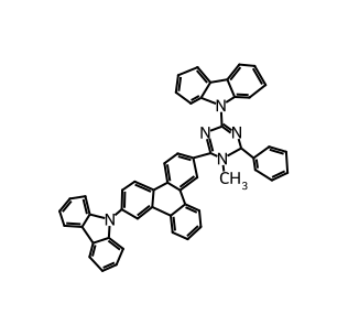 CN1C(c2ccc3c4ccc(-n5c6ccccc6c6ccccc65)cc4c4ccccc4c3c2)=NC(n2c3ccccc3c3ccccc32)=NC1c1ccccc1